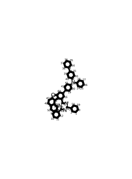 c1ccc(C2=NC(c3ccccc3)NC(c3cc(-c4ccc(N(c5ccccc5)c5ccc(-c6ccccc6)cc5)cc4)cc4oc5ccc6ccccc6c5c34)=N2)cc1